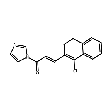 O=C(C=CC1=C(Cl)c2ccccc2CC1)n1ccnc1